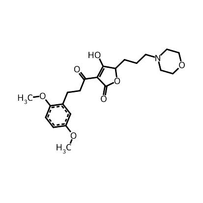 COc1ccc(OC)c(CCC(=O)C2=C(O)C(CCCN3CCOCC3)OC2=O)c1